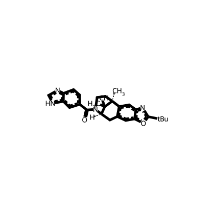 CC(C)(C)c1nc2cc3c(cc2o1)C[C@H]1N(C(=O)c2ccc4nc[nH]c4c2)CC[C@]3(C)C1(C)C